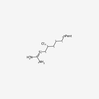 CCCCCCCCCC[S+]=C(N)N.[Cl-]